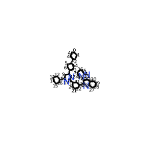 c1ccc(-c2ccc(-c3cc(-c4ccccc4)nc(-c4cccc(-c5nc6ccccc6c6nc7ccccn7c56)c4)n3)cc2)cc1